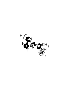 Cc1cnc([C@@H]2CC(N3C[C@@H](C)[C@H](NS(C)(=O)=O)C3)=NO2)c(C2=C(F)C=C(F)C2)c1